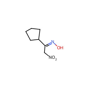 O=[N+]([O-])CC(=NO)C1CCCC1